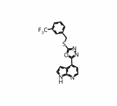 FC(F)(F)c1cccc(CSc2nnc(-c3ccnc4[nH]ccc34)o2)c1